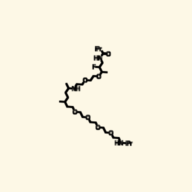 CC(CCOCCOCCOCCOCCNC(C)C)CCC(C)NCCOCCOC(C)C(F)CNC(=O)C(C)C